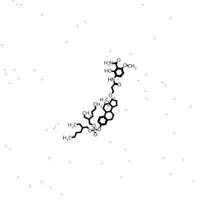 CCCCC(CC)COP(=O)(OCC(CC)CCCC)Oc1ccc2c(c1)CCC1C2CC[C@]2(C)C1CC[C@H]2OCCC(=O)Nc1ccc(OC)c(C(N)=O)c1O